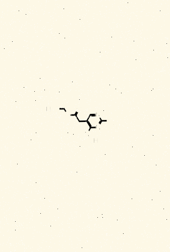 CCOC(=O)Cc1cnc(SC)nc1NC